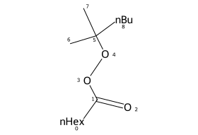 CCCCCCC(=O)OOC(C)(C)CCCC